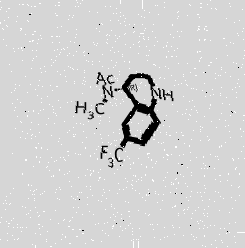 CC(=O)N(C)[C@@H]1CCNc2ccc(C(F)(F)F)cc21